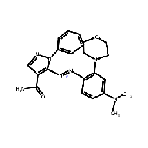 CN(C)c1ccc(/N=N/c2c(C(N)=O)cnn2-c2ccccc2)c(N2CCOCC2)c1